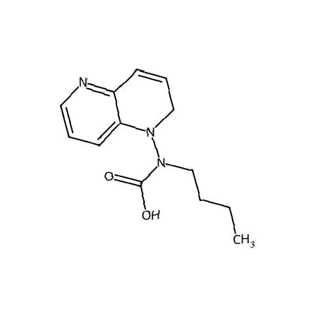 CCCCN(C(=O)O)N1CC=Cc2ncccc21